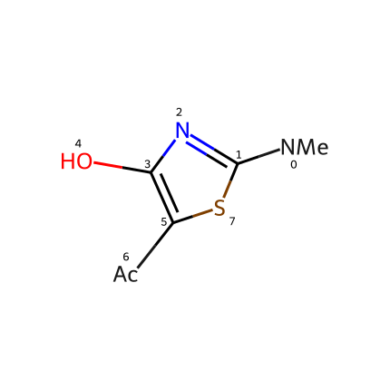 CNc1nc(O)c(C(C)=O)s1